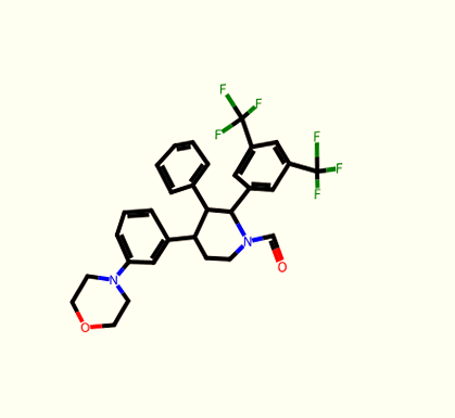 O=CN1CCC(c2cccc(N3CCOCC3)c2)C(c2ccccc2)C1c1cc(C(F)(F)F)cc(C(F)(F)F)c1